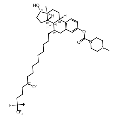 CN1CCN(C(=O)Oc2ccc3c(c2)C[C@@H](CCCCCCCCC[S+]([O-])CCCC(F)(F)C(F)(F)F)[C@@H]2[C@@H]3CC[C@]3(C)[C@@H](O)CC[C@@H]23)CC1